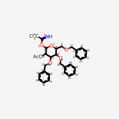 CC(=O)OC1C(OC(=N)C(Cl)(Cl)Cl)OC(COCc2ccccc2)C(OCc2ccccc2)C1OCc1ccccc1